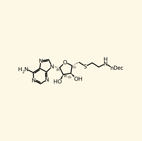 CCCCCCCCCCNCCSC[C@H]1O[C@@H](n2cnc3c(N)ncnc32)[C@H](O)[C@@H]1O